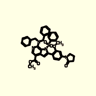 COC(=O)c1cnc(N(Cc2ccccc2)Cc2ccccc2)c2c1cc(-c1ccc(N3CCCC3=O)cc1OC)n2S(=O)(=O)c1ccccc1